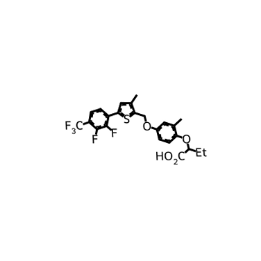 CCC(Oc1ccc(OCc2sc(-c3ccc(C(F)(F)F)c(F)c3F)cc2C)cc1C)C(=O)O